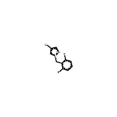 Fc1cccc(F)c1Cn1cc(Cl)cn1